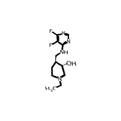 CCN1CC[C@@H](CNc2ncnc(F)c2F)[C@H](O)C1